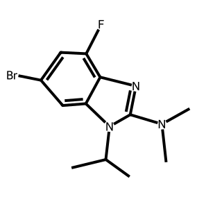 CC(C)n1c(N(C)C)nc2c(F)cc(Br)cc21